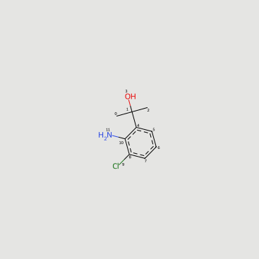 CC(C)(O)c1cccc(Cl)c1N